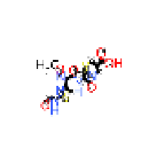 CO/N=C(\C(=O)NC1C(=O)N2C=C(C(=O)O)CS[C@H]12)c1csc(NC=O)n1